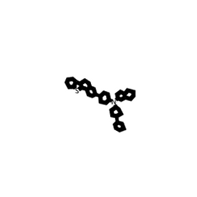 c1ccc(-c2ccc(N(c3ccc(-c4ccc5c(ccc6c7ccccc7sc56)c4)cc3)c3ccc4ccccc4c3)cc2)cc1